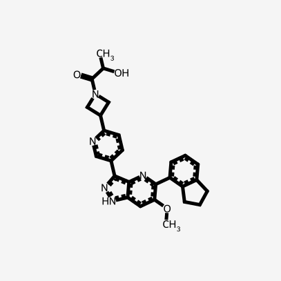 COc1cc2[nH]nc(-c3ccc(C4CN(C(=O)C(C)O)C4)nc3)c2nc1-c1cccc2c1CCC2